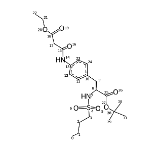 CCCCS(=O)(=O)N[C@@H](Cc1ccc(NC(=O)CC(=O)OCC)cc1)C(=O)OC(C)(C)C